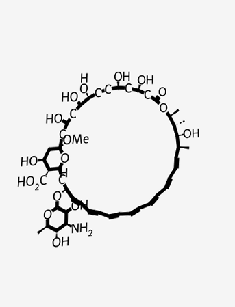 CO[C@]12CC(O)CC(O)[C@H](O)CC[C@@H](O)C[C@@H](O)CC(=O)O[C@@H](C)[C@H](C)[C@H](O)[C@@H](C)/C=C/C=C/C=C/C=C/C=C/C=C/C=C/[C@H](OC3O[C@H](C)[C@@H](O)[C@H](N)C3O)C[C@H](O1)[C@H](C(=O)O)[C@@H](O)C2